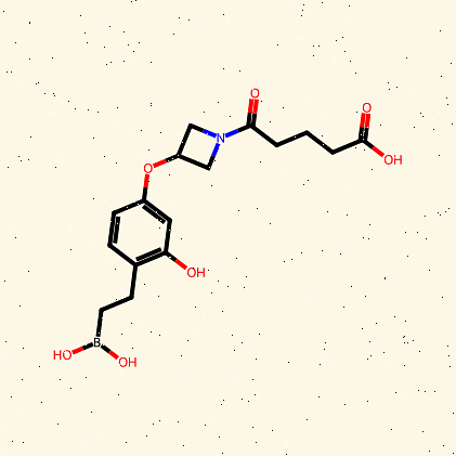 O=C(O)CCCC(=O)N1CC(Oc2ccc(CCB(O)O)c(O)c2)C1